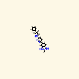 C=C1Nc2ccc(-c3ccc(NCC(C)(C)c4ccccc4)nn3)cc2N1